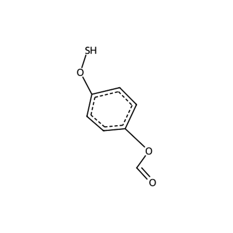 O=COc1ccc(OS)cc1